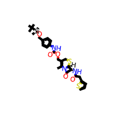 CC1=C(COC(=O)Nc2ccc(CO[Si](C)(C)C(C)(C)C)cc2)CS[C@@H]2[C@H](NC(=O)Cc3cccs3)C(=O)N12